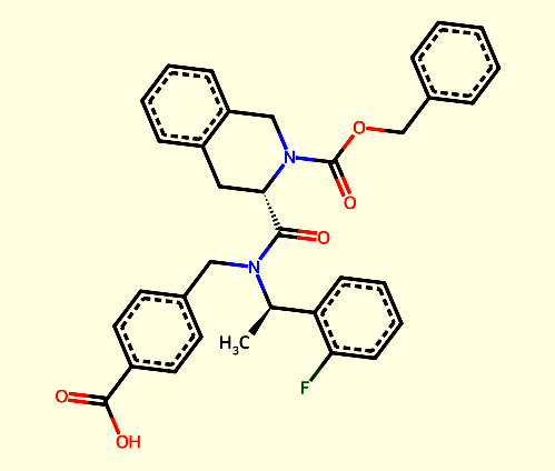 C[C@H](c1ccccc1F)N(Cc1ccc(C(=O)O)cc1)C(=O)[C@@H]1Cc2ccccc2CN1C(=O)OCc1ccccc1